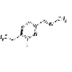 CCc1ccc(/C=N/C)nc1F